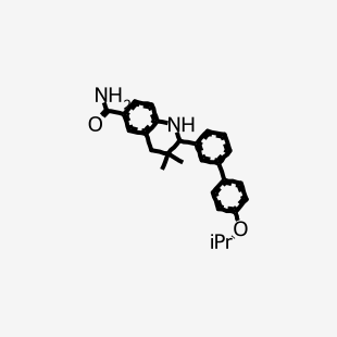 CC(C)Oc1ccc(-c2cccc(C3Nc4ccc(C(N)=O)cc4CC3(C)C)c2)cc1